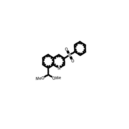 COC(OC)c1cccc2cc(S(=O)(=O)c3ccccc3)cnc12